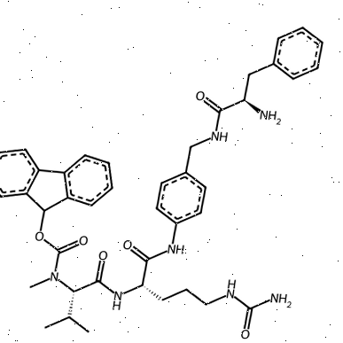 CC(C)[C@@H](C(=O)N[C@@H](CCCNC(N)=O)C(=O)Nc1ccc(CNC(=O)[C@H](N)Cc2ccccc2)cc1)N(C)C(=O)OC1c2ccccc2-c2ccccc21